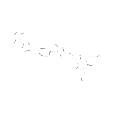 C=CCn1c(=O)n(CC=C)c(=O)n(CC=C)c1=O.O=C1C=CC(=O)N1c1ccc(Cc2ccc(N3C(=O)C=CC3=O)cc2)cc1